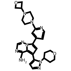 Nc1ncnn2c(-c3ccnc(N4CCN(C5COC5)CC4)c3)cc(-c3ccnn3C3CCOCC3)c12